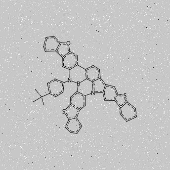 CC(C)(C)c1ccc(N2B3c4cc5sc6ccccc6c5cc4-n4c5cc6c(cc5c5ccc(c3c54)-c3cc4oc5ccccc5c4cc32)sc2ccccc26)cc1